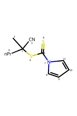 CCCC(C)(C#N)SC(=S)n1cccc1